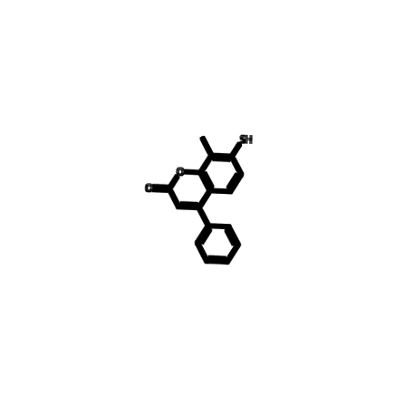 Cc1c(S)ccc2c(-c3ccccc3)cc(=O)oc12